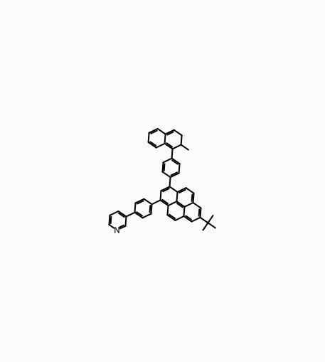 CC1CC=c2ccccc2=C1c1ccc(-c2cc(-c3ccc(-c4cccnc4)cc3)c3ccc4cc(C(C)(C)C)cc5ccc2c3c54)cc1